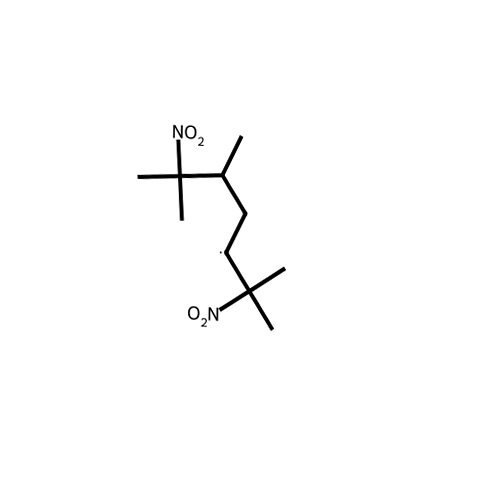 CC(C[CH]C(C)(C)[N+](=O)[O-])C(C)(C)[N+](=O)[O-]